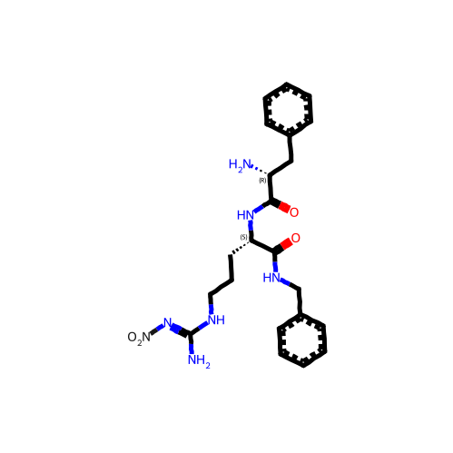 NC(=N[N+](=O)[O-])NCCC[C@H](NC(=O)[C@H](N)Cc1ccccc1)C(=O)NCc1ccccc1